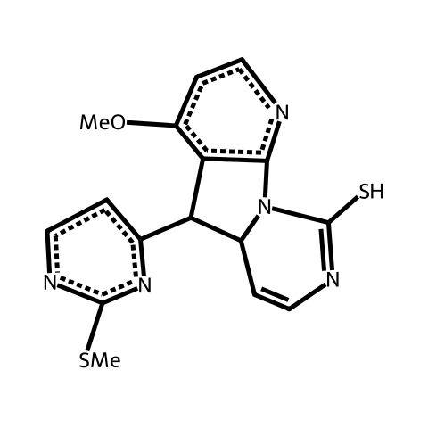 COc1ccnc2c1C(c1ccnc(SC)n1)C1C=CN=C(S)N21